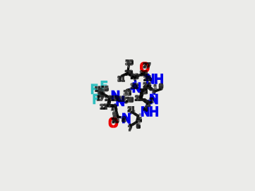 Cc1nc(N[C@@H]2CCN(C(=O)c3cc(C(F)(F)F)nn3C)C2)cc2c1NC(=O)C(C(C)C)N2C